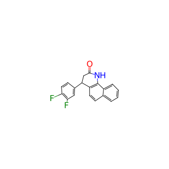 O=C1CC(c2ccc(F)c(F)c2)c2ccc3ccccc3c2N1